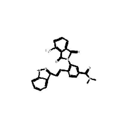 CN(C)C(=O)c1ccc(C=Cc2n[nH]c3ccccc23)c(N2C(=O)c3cccc(N)c3C2=O)c1